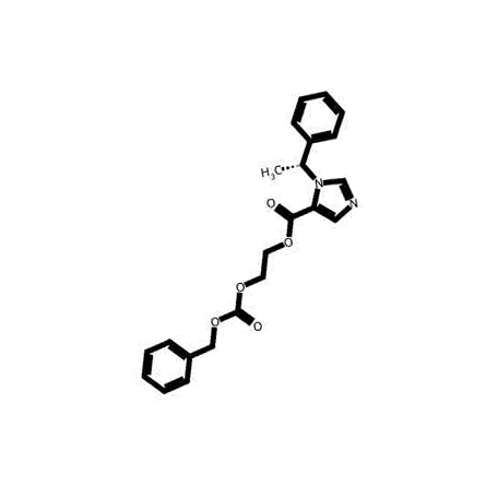 C[C@H](c1ccccc1)n1cncc1C(=O)OCCOC(=O)OCc1ccccc1